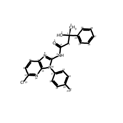 C[C@](O)(CC(=O)Nc1nc2ccc(Cl)nc2n1-c1ccc(F)cc1)c1ccccc1